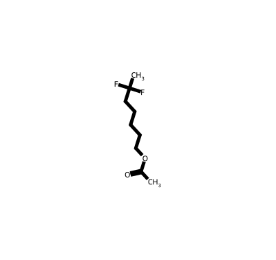 CC(=O)OCCCCCC(C)(F)F